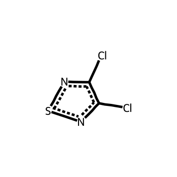 Clc1nsnc1Cl